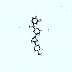 CC(=O)N1CCN(c2ncc(-c3cccc(Nc4cc(C)ccn4)n3)s2)CC1